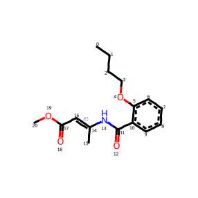 CCCCOc1ccccc1C(=O)N/C(C)=C/C(=O)OC